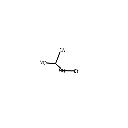 CCNC(C#N)C#N